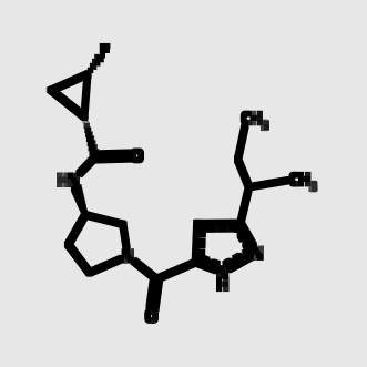 CCC(C)c1cc(C(=O)N2CC[C@@H](NC(=O)[C@@H]3C[C@@H]3F)C2)[nH]n1